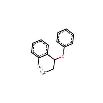 CCC(Oc1ccccc1)c1ccccc1C